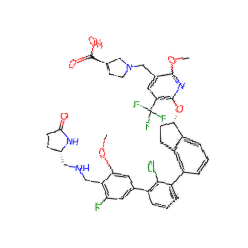 COc1cc(-c2cccc(-c3cccc4c3CC[C@@H]4Oc3nc(OC)c(CN4CC[C@@H](C(=O)O)C4)cc3C(F)(F)F)c2Cl)cc(F)c1CNC[C@@H]1CCC(=O)N1